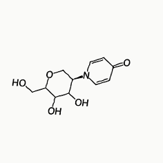 O=c1ccn([C@@H]2COC(CO)C(O)C2O)cc1